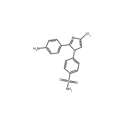 Nc1ccc(-c2nc(C(F)(F)F)cn2-c2ccc(S(N)(=O)=O)cc2)cc1